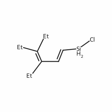 CCC(C=C[SiH2]Cl)=C(CC)CC